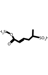 CC(CC=CC(=O)O[SiH3])S(=O)(=O)O